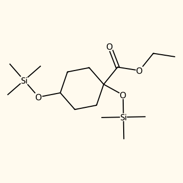 CCOC(=O)C1(O[Si](C)(C)C)CCC(O[Si](C)(C)C)CC1